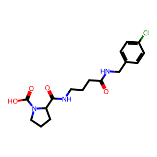 O=C(CCCNC(=O)C1CCCN1C(=O)O)NCc1ccc(Cl)cc1